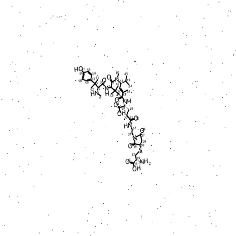 CNC(C(=O)NC(C(=O)N(C)[C@H](/C=C(\C)C(=O)N[C@H](CCC(=O)NCCN1C(=O)CC(SC[C@H](N)C(=O)O)C1=O)C(=O)O)C(C)C)C(C)(C)C)C(C)(C)c1ccc(O)cc1